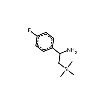 C[Si](C)(C)CC(N)c1ccc(F)cc1